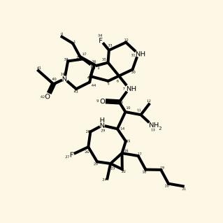 CCCCCCC1(NC(=O)C(C(C)N)C2CC3(CCCCC)CC3(C)CC(F)CN2)CNCC(F)C1N1CCN(C(C)=O)CC1